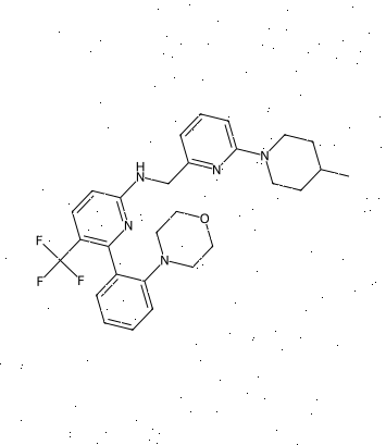 CC1CCN(c2cccc(CNc3ccc(C(F)(F)F)c(-c4ccccc4N4CCOCC4)n3)n2)CC1